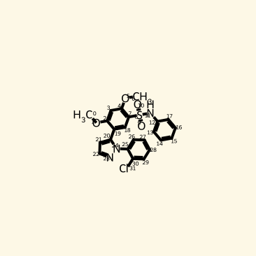 COc1cc(OC)c(S(=O)(=O)Nc2ccccc2)cc1-c1ccnn1-c1ccccc1Cl